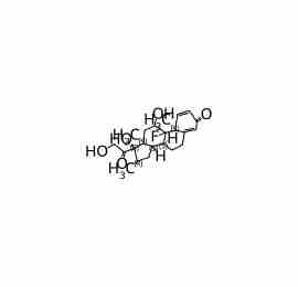 C[C@@H]1C[C@H]2[C@@H]3CCC4=CC(=O)C=C[C@]4(C)C3(F)C(O)C[C@]2(C)[C@@]1(O)C(=O)CO